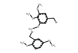 COc1cc(CBr)cc(OC)c1OC.COc1ccc(OC)c(CBr)c1